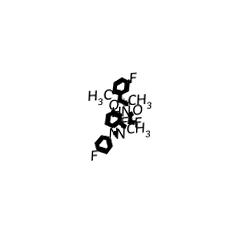 Cc1ccc(F)cc1[C@@H](Oc1ccc2c(cnn2-c2ccc(F)cc2)c1)[C@H](C)NC(=O)C(C)(F)F